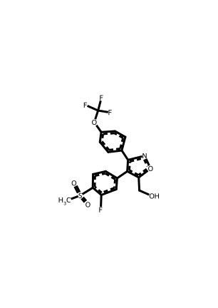 CS(=O)(=O)c1ccc(-c2c(-c3ccc(OC(F)(F)F)cc3)noc2CO)cc1F